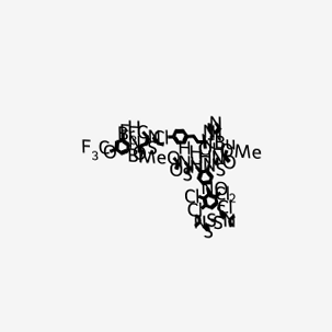 CC(C)(C)C(O)(CCc1ccc(Cl)cc1)Cn1cncn1.CN(C)C(=S)SSC(=S)N(C)C.COC(=O)NC(=S)Nc1ccccc1NC(=S)NC(=O)OC.Cc1nc(C(F)(F)F)c(C(=O)Nc2c(Br)cc(OC(F)(F)F)cc2Br)s1.O=[N+]([O-])c1c(Cl)c(Cl)cc(Cl)c1Cl